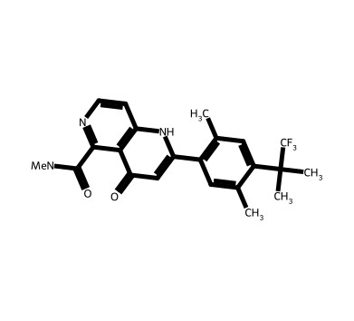 CNC(=O)c1nccc2[nH]c(-c3cc(C)c(C(C)(C)C(F)(F)F)cc3C)cc(=O)c12